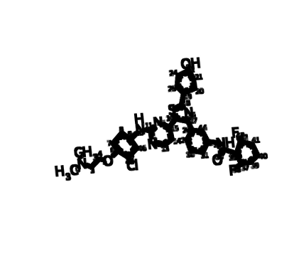 CN(C)CCOc1ccc(Nc2nccc(-c3sc(-c4ccc(O)cc4)nc3-c3cccc(NC(=O)c4c(F)cccc4F)c3)n2)cc1Cl